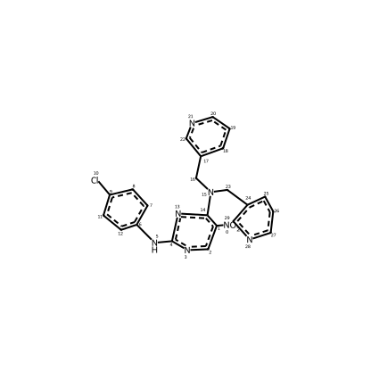 O=[N+]([O-])c1cnc(Nc2ccc(Cl)cc2)nc1N(Cc1cccnc1)Cc1cccnc1